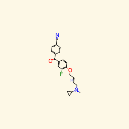 CN(C/C=C/COc1ccc(C(=O)c2ccc(C#N)cc2)cc1F)C1CC1